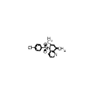 C=C1CC(C)N(S(=O)(=O)c2ccc(Cl)cc2)c2cccnc21